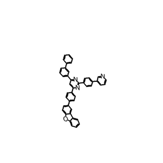 c1ccc(-c2cccc(-c3cc(-c4ccc(-c5ccc6oc7ccccc7c6c5)cc4)nc(-c4ccc(-c5cccnc5)cc4)n3)c2)cc1